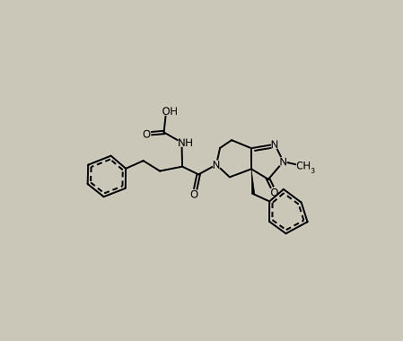 CN1N=C2CCN(C(=O)C(CCc3ccccc3)NC(=O)O)C[C@@]2(Cc2ccccc2)C1=O